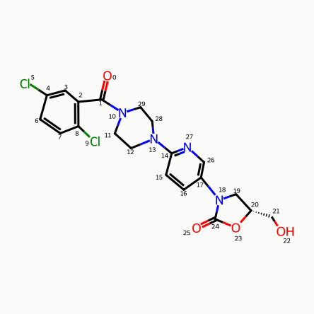 O=C(c1cc(Cl)ccc1Cl)N1CCN(c2ccc(N3C[C@H](CO)OC3=O)cn2)CC1